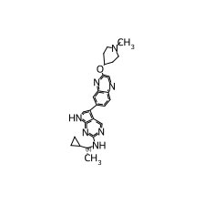 C[C@@H](Nc1ncc2c(-c3ccc4ncc(OC5CCN(C)CC5)nc4c3)c[nH]c2n1)C1CC1